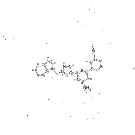 Cc1c(C#N)cccc1-c1cc(-c2cn(Cc3c[nH]c4ccccc34)nn2)nc(N)n1